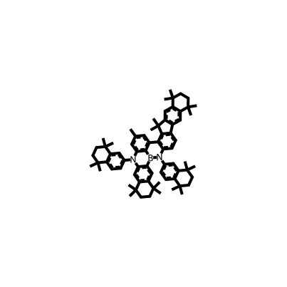 Cc1cc2c3c(c1)N(c1ccc4c(c1)C(C)(C)CCC4(C)C)c1cc4c(cc1B3N(c1ccc3c(c1)C(C)(C)CCC3(C)C)c1ccc3c(c1-2)C(C)(C)c1cc2c(cc1-3)C(C)(C)CCC2(C)C)C(C)(C)CCC4(C)C